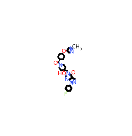 Cn1cc(O[C@H]2CC[C@H](C(=O)N3CCC(O)(Cn4cnc5c(cnn5-c5ccc(F)cc5)c4=O)CC3)CC2)cn1